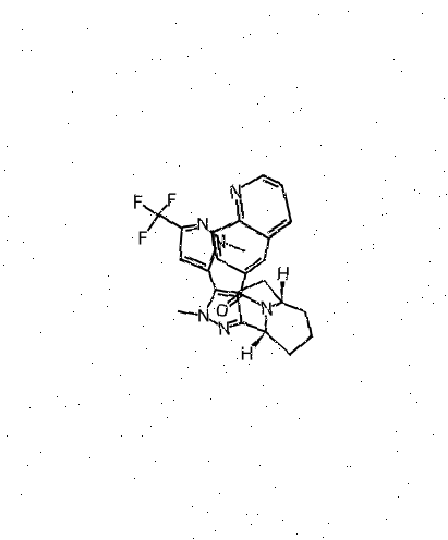 Cn1nc(C(F)(F)F)cc1-c1c2c(nn1C)[C@H]1CCC[C@@H](C2)N1C(=O)c1ccc2ncccc2c1